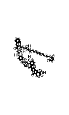 CC[C@@]1(O)C(=O)OCc2c1cc1n(c2=O)Cc2c-1nc1cc(F)c(C)cc1c2CN1CCN(S(=O)(=O)c2ccc(NC(=O)CNC(=O)C(Cc3ccccc3)NC(=O)CNC(=O)CNC(=O)CCOCCOCCOCCN3C(=O)C=CC3=O)cc2)CC1